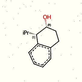 CC(C)[C@H]1c2ccccc2CC[C@H]1O